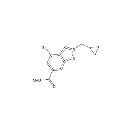 COC(=O)c1cc(Br)c2cn(CC3CC3)nc2c1